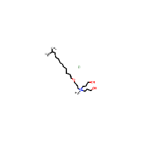 CC(C)CCCCCCCCCCOCCC[N+](C)(CCCO)CCCO.[Cl-]